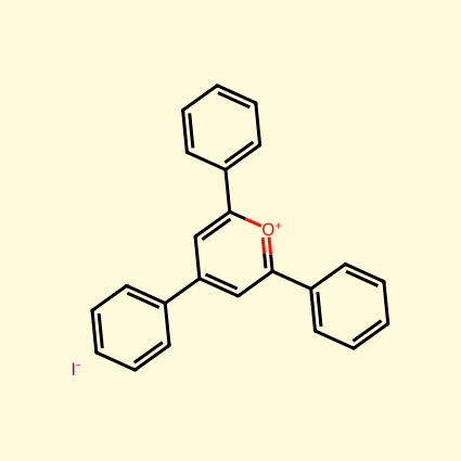 [I-].c1ccc(-c2cc(-c3ccccc3)[o+]c(-c3ccccc3)c2)cc1